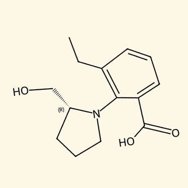 CCc1cccc(C(=O)O)c1N1CCC[C@@H]1CO